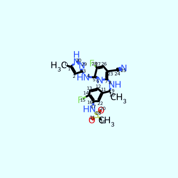 Cc1cc(Nc2nc(N[C@@H](C)c3ccc(F)c(NS(C)(=O)=O)c3)c(C#N)cc2F)n[nH]1